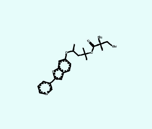 CC(CC(C)(C)OC(=O)C(C)(CC(C)(C)C)C(C)(C)C)Oc1ccc2cc(-c3cccnc3)sc2c1